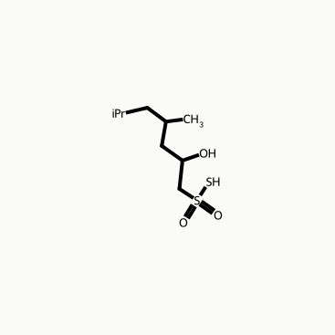 CC(C)CC(C)CC(O)CS(=O)(=O)S